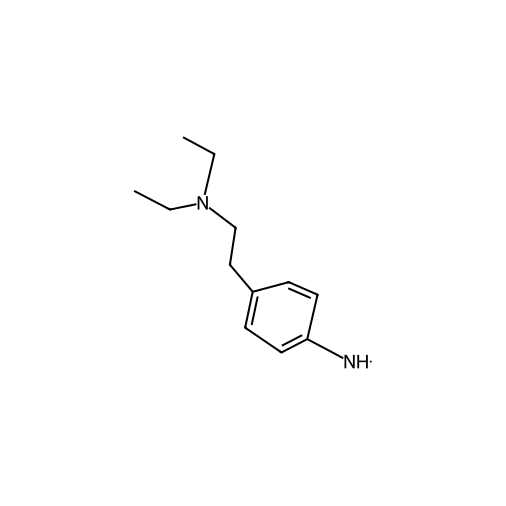 CCN(CC)CCc1ccc([NH])cc1